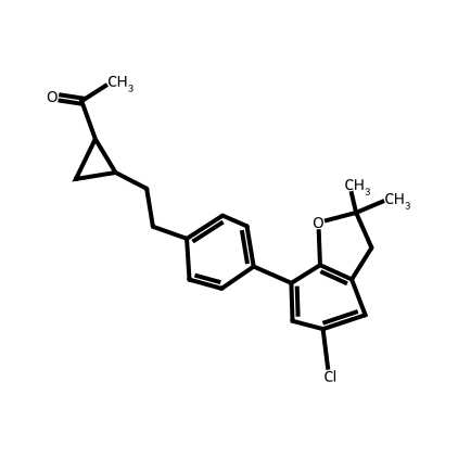 CC(=O)C1CC1CCc1ccc(-c2cc(Cl)cc3c2OC(C)(C)C3)cc1